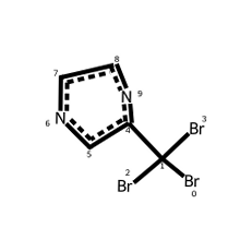 BrC(Br)(Br)c1cnccn1